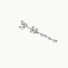 N#CCCCOCCOCCOCCCNC(=O)CNC(=O)CCCCC1SC[C@H](N)[C@@H]1N